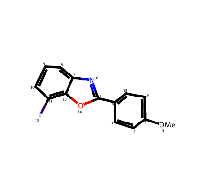 COc1ccc(-c2nc3cccc(I)c3o2)cc1